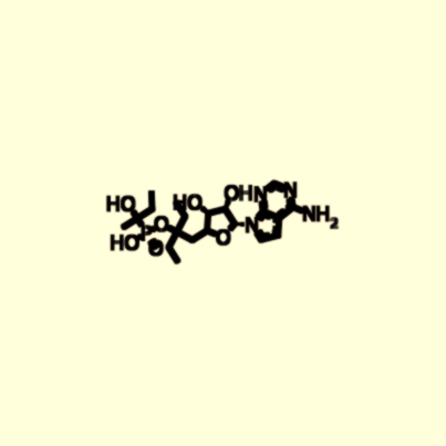 CCC(CC)(CC1O[C@@H](n2ccc3c(N)ncnc32)[C@H](O)[C@@H]1O)OP(=O)(O)C(C)(O)CC